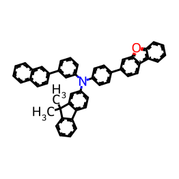 CC1(C)c2ccccc2-c2ccc(N(c3ccc(-c4ccc5c(c4)oc4ccccc45)cc3)c3cccc(-c4ccc5ccccc5c4)c3)cc21